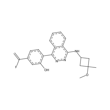 C=C(F)c1ccc(-c2nnc(NC3CC(C)(OC)C3)c3ccccc23)c(O)c1